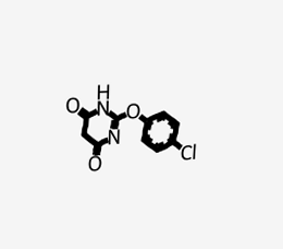 O=C1CC(=O)NC(Oc2ccc(Cl)cc2)=N1